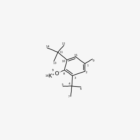 Cc1cc(C(C)(C)C)c([O-])c(C(C)(C)C)c1.[K+]